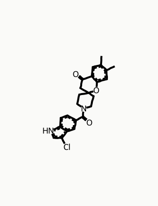 Cc1cc2c(cc1C)C(=O)CC1(CCN(C(=O)c3ccc4[nH]cc(Cl)c4c3)CC1)O2